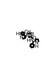 Cc1c[nH]c2nccc(N3C=C(C(=O)NC(c4ccccc4)[C@@H]4CCCN4)SCC3)c12.Cl